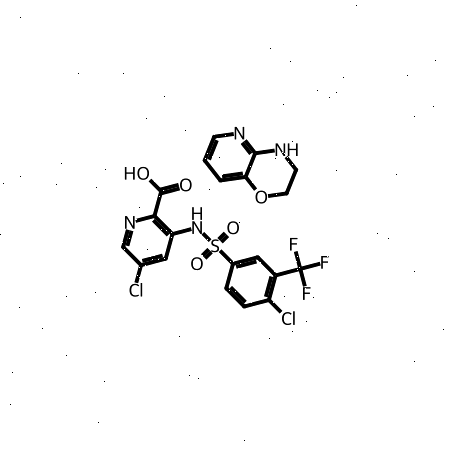 O=C(O)c1ncc(Cl)cc1NS(=O)(=O)c1ccc(Cl)c(C(F)(F)F)c1.c1cnc2c(c1)OCCN2